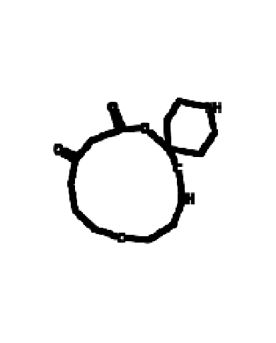 O=C1CCCCCCNCC2(CCNCC2)OC(=O)C1